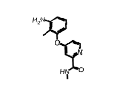 CNC(=O)c1cc(Oc2cccc(N)c2C)ccn1